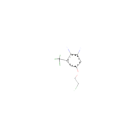 Nc1cc(OCCBr)cc(C(F)(F)F)c1N